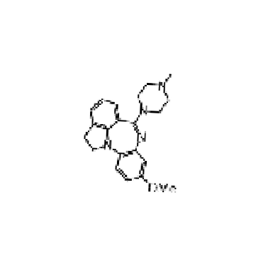 COc1ccc2c(c1)N=C(N1CCN(C)CC1)c1cccc3c1N2CC3